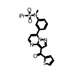 CC(C)S(=O)(=O)N(C)c1cccc(-c2ccnc3c(C(=O)c4cccs4)cnn23)c1